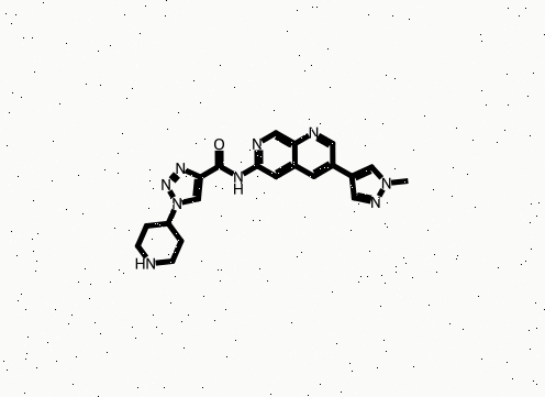 Cn1cc(-c2cnc3cnc(NC(=O)c4cn(C5CCNCC5)nn4)cc3c2)cn1